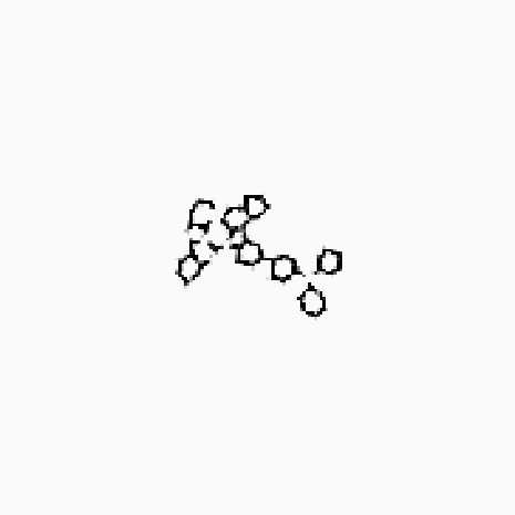 c1ccc(N(c2ccccc2)c2ccc(-c3ccc4c(c3)c3c5ccccc5ccc3n4-c3nc4ccccc4c4nc5ccccc5n34)cc2)cc1